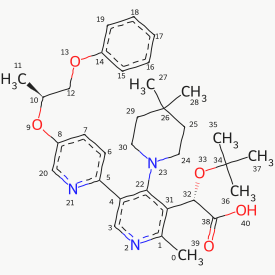 Cc1ncc(-c2ccc(O[C@@H](C)COc3ccccc3)cn2)c(N2CCC(C)(C)CC2)c1[C@H](OC(C)(C)C)C(=O)O